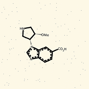 CO[C@H]1CNC[C@H]1n1cnc2ccc(C(=O)O)cc21